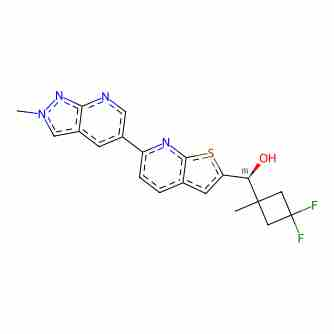 Cn1cc2cc(-c3ccc4cc([C@@H](O)C5(C)CC(F)(F)C5)sc4n3)cnc2n1